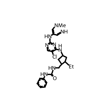 CCC1CC(Nc2nc(N/C(C=N)=C/NC)ncc2Cl)CC1CNC(=O)Nc1ccccc1